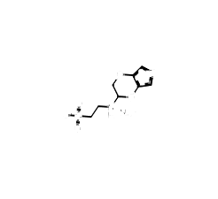 O=S(=O)([O-])CCNC1COc2cscc2O1.[Na+]